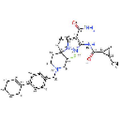 N#CCC1(n2cc(C(N)=O)c(NC(=O)C3CC3C#N)n2)CCN(Cc2ccc(C3=CCCCC3)cc2)CC1F